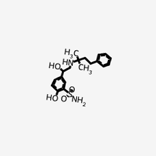 CC(C)(CCc1ccccc1)NCC(O)c1ccc(O)c(S(N)(=O)=O)c1